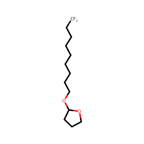 FC(F)(F)CCCCCCCCOC1CCCO1